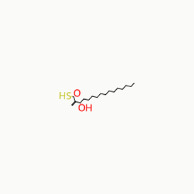 C=C(C(=O)S)C(O)CCCCCCCCCCCCC